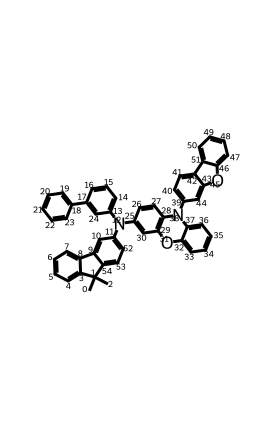 CC1(C)c2ccccc2-c2cc(N(c3cccc(-c4ccccc4)c3)c3ccc4c(c3)Oc3ccccc3N4c3ccc4c(c3)oc3ccccc34)ccc21